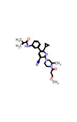 C=C(C)C(=O)Nc1cccc(-c2cc(C#N)c(N3CCN(C(=O)CCOC)C(C)C3)nc2C2CC2)c1